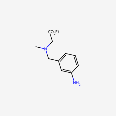 CCOC(=O)CN(C)Cc1cccc(N)c1